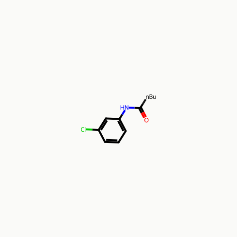 CCCCC(=O)Nc1cccc(Cl)c1